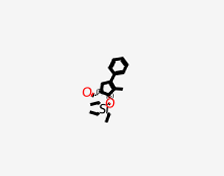 CC[Si](CC)(CC)O[C@@H]1C(C)=C(c2ccccc2)C[C@H]1C=O